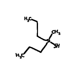 CCC[Si](C)(S)CCC